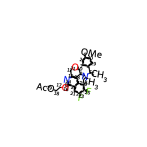 COc1ccc(C(C)N(C)[C@@H]2COCc3nc(OCCOC(C)=O)c4cc(F)c(F)cc4c32)cc1